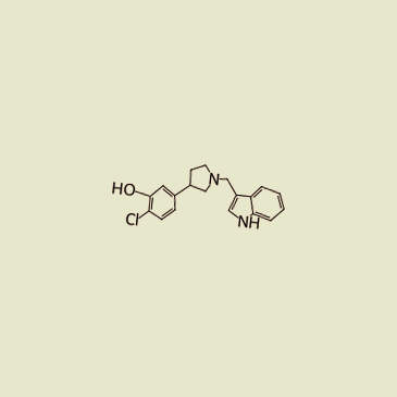 Oc1cc(C2CCN(Cc3c[nH]c4ccccc34)C2)ccc1Cl